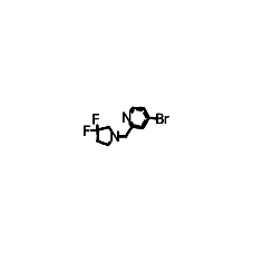 FC1(F)CCN(Cc2cc(Br)ccn2)C1